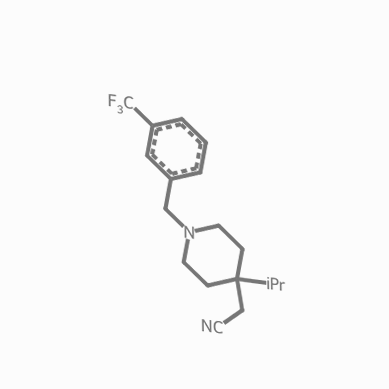 CC(C)C1(CC#N)CCN(Cc2cccc(C(F)(F)F)c2)CC1